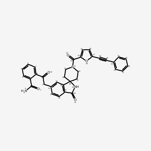 NC(=O)c1ccccc1C(=O)Cc1ccc2c(c1)C1(CCN(C(=O)c3ccc(C#Cc4ccccc4)o3)CC1)NC2=O